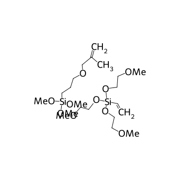 C=C(C)COCCC[Si](OC)(OC)OC.C=C[Si](OCCOC)(OCCOC)OCCOC